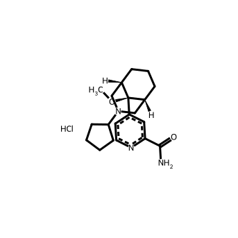 CO[C@]1(c2ccnc(C(N)=O)c2)[C@@H]2CCC[C@H]1CN(C1CCCC1)C2.Cl